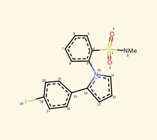 CNS(=O)(=O)c1ccccc1-n1cccc1-c1ccc(F)cc1